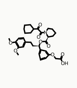 COc1ccc(CC[C@@H](OC(=O)[C@@H]2CCCCN2C(=O)C(=O)C2CCCCC2)c2cccc(OCC(=O)O)c2)cc1OC